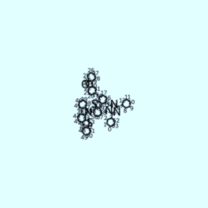 c1ccc(-c2nc(-c3ccccc3)nc(-c3ccc(-c4ccc5oc6ccccc6c5c4)c4sc5c(-n6c7ccccc7c7ccc8c9ccccc9sc8c76)cccc5c34)n2)cc1